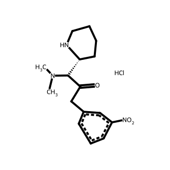 CN(C)C(C(=O)Cc1cccc([N+](=O)[O-])c1)[C@H]1CCCCN1.Cl